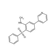 CNc1cc(-c2cccnc2)ccc1S(=O)(=O)c1ccccc1